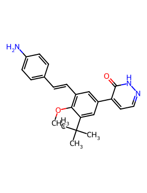 COc1c(/C=C/c2ccc(N)cc2)cc(-c2ccn[nH]c2=O)cc1C(C)(C)C